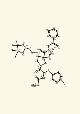 CC(C)(C)OC(=O)NC(Cc1ccc(C(F)(F)F)cc1)C(=O)N1C[C@H](CCCB2OC(C)(C)C(C)(C)O2)[C@](N=[N+]=[N-])(C(=O)OCC(=O)c2ccccc2)C1